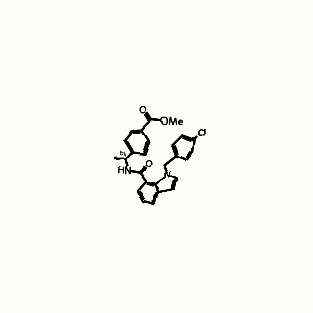 COC(=O)c1ccc([C@H](C)NC(=O)c2cccc3ccn(Cc4ccc(Cl)cc4)c23)cc1